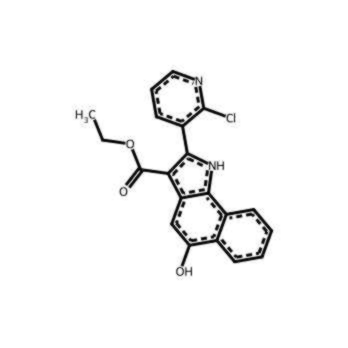 CCOC(=O)c1c(-c2cccnc2Cl)[nH]c2c1cc(O)c1ccccc12